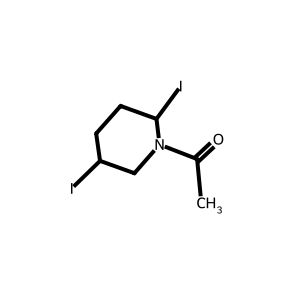 CC(=O)N1CC(I)CCC1I